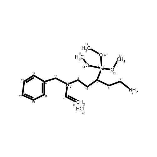 C=CN(CCC(CCN)[Si](OC)(OC)OC)Cc1ccccc1.Cl